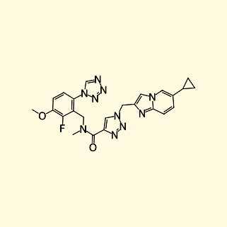 COc1ccc(-n2cnnn2)c(CN(C)C(=O)c2cn(Cc3cn4cc(C5CC5)ccc4n3)nn2)c1F